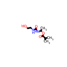 C=C(C)C(=O)OC(C)NC(=O)NCCO